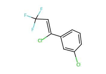 FC(F)(F)C=C(Cl)c1cccc(Cl)c1